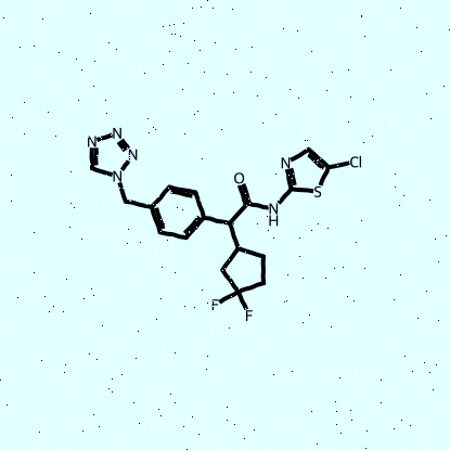 O=C(Nc1ncc(Cl)s1)C(c1ccc(Cn2cnnn2)cc1)C1CCC(F)(F)C1